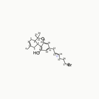 CC1=CCC2C(C1)c1c(O)cc(C/C=C/CCCBr)cc1OC2(C)C